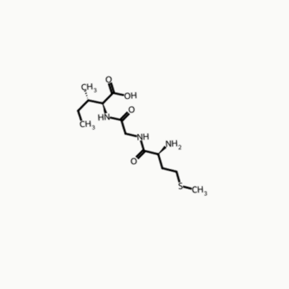 CC[C@H](C)[C@H](NC(=O)CNC(=O)[C@@H](N)CCSC)C(=O)O